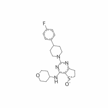 [O-][S+]1CCc2nc(N3CCC(c4ccc(F)cc4)CC3)nc(NC3CCOCC3)c21